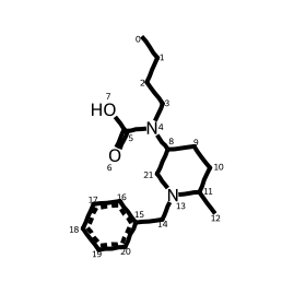 CCCCN(C(=O)O)C1CCC(C)N(Cc2ccccc2)C1